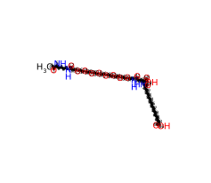 CCC(=O)[C@@H](N)CCCCNC(=O)CCOCCOCCOCCOCCOCCOCCOCCOCCNC(=O)CCC(NC(=O)CCCCCCCCCCCCCCCCC(=O)O)C(=O)O